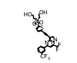 O=S(=O)(c1ccc(C#Cc2cnn3c(C(F)F)cc(-c4cccc(C(F)(F)F)c4)nc23)s1)N(CCO)CCO